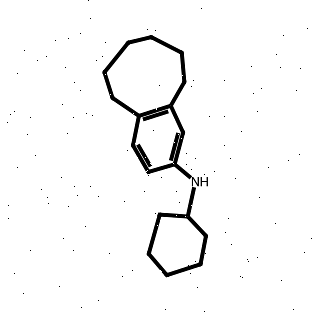 c1cc2c(cc1NC1CCCCC1)CCCCCC2